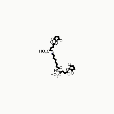 O=C(CCCCCC/C=N/C(CCC(=O)ON1C(=O)CCC1=O)C(=O)O)NC(CCC(=O)ON1C(=O)CCC1=O)C(=O)O